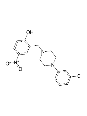 O=[N+]([O-])c1ccc(O)c(CN2CCN(c3cccc(Cl)c3)CC2)c1